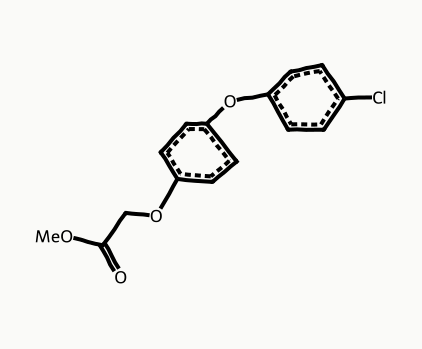 COC(=O)COc1ccc(Oc2ccc(Cl)cc2)cc1